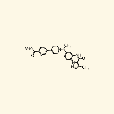 CNC(=O)c1ccc(C2=CCN(C(C)c3ccc4c(c3)[nH]c(=O)c3c(C)cnn34)CC2)cn1